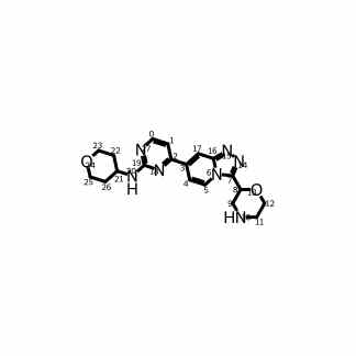 c1cc(-c2ccn3c(C4CNCCO4)nnc3c2)nc(NC2CCOCC2)n1